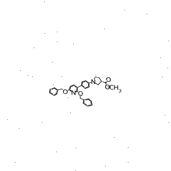 COC(=O)[C@@H]1CCN(c2ccc(-c3ccc(OCc4ccccc4)nc3OCc3ccccc3)cc2)C1